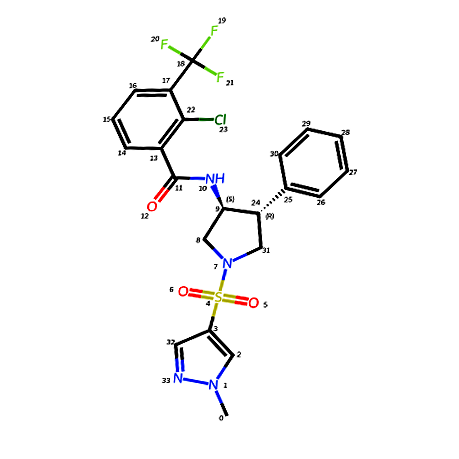 Cn1cc(S(=O)(=O)N2C[C@@H](NC(=O)c3cccc(C(F)(F)F)c3Cl)[C@H](c3ccccc3)C2)cn1